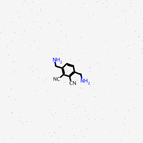 N#Cc1c(CN)ccc(CN)c1C#N